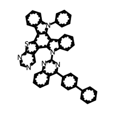 c1ccc(-c2ccc(-c3nc(-n4c5ccccc5c5c6c(c7ccccc7n6-c6ccccc6)c6sc7ncncc7c6c54)nc4ccccc34)cc2)cc1